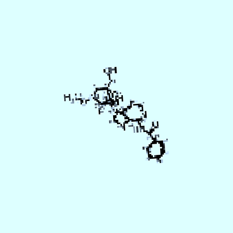 CON1C[C@]2(CO)O[C@@H](n3cnc4c(NC(=O)c5ccccc5)ncnc43)[C@H]1[C@@H]2O